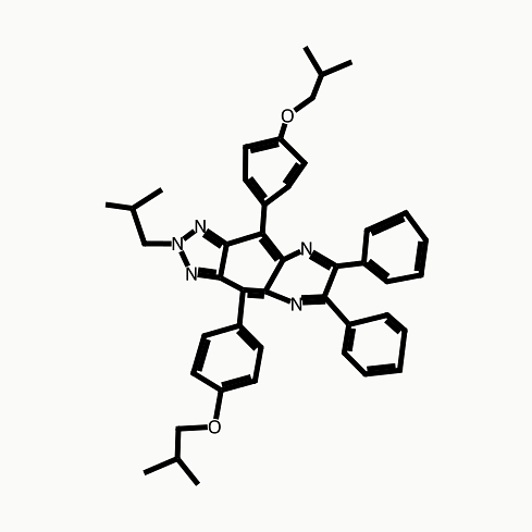 CC(C)COc1ccc(-c2c3nc(-c4ccccc4)c(-c4ccccc4)nc3c(-c3ccc(OCC(C)C)cc3)c3nn(CC(C)C)nc23)cc1